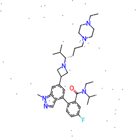 CCN1CCN(CCC[C@@H](C(C)C)N2CC(c3cc(-c4ccc(F)cc4C(=O)N(CC)C(C)C)c4cnn(C)c4c3)C2)CC1